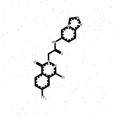 CCc1nn(CC(=O)Nc2ccc3nncn3c2)c(=O)c2ccc(C(F)(F)F)cc12